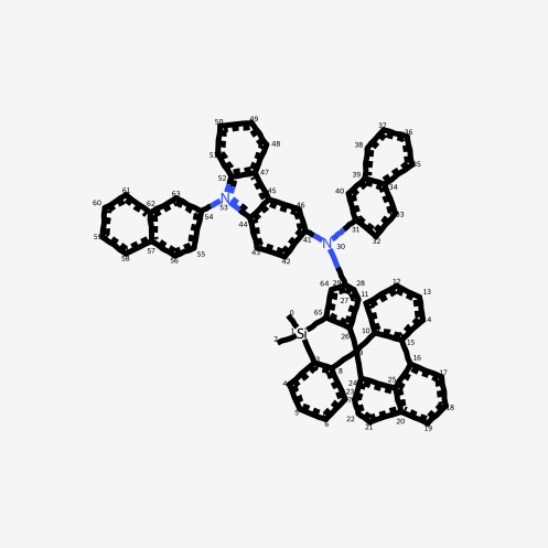 C[Si]1(C)c2ccccc2C2(c3ccccc3-c3cccc4cccc2c34)c2ccc(N(c3ccc4ccccc4c3)c3ccc4c(c3)c3ccccc3n4-c3ccc4ccccc4c3)cc21